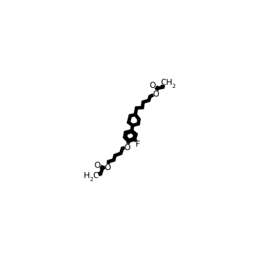 C=CC(=O)OCCCCCOc1ccc(C2CCC(CCCCCOC(=O)C=C)CC2)cc1F